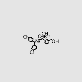 CS(=O)(=O)C(=C1CN(C(c2ccc(Cl)cc2)c2ccc(Cl)cc2)C1)c1cccc(CO)c1